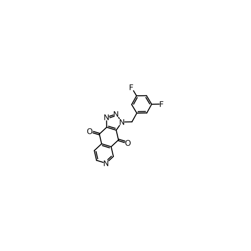 O=C1c2ccncc2C(=O)c2c1nnn2Cc1cc(F)cc(F)c1